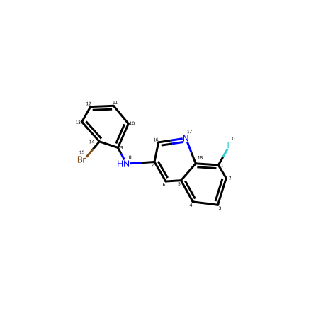 Fc1cccc2cc(Nc3ccccc3Br)cnc12